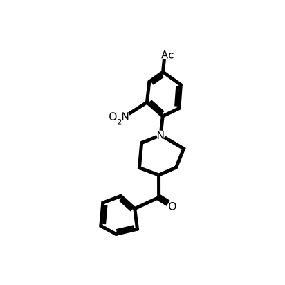 CC(=O)c1ccc(N2CCC(C(=O)c3ccccc3)CC2)c([N+](=O)[O-])c1